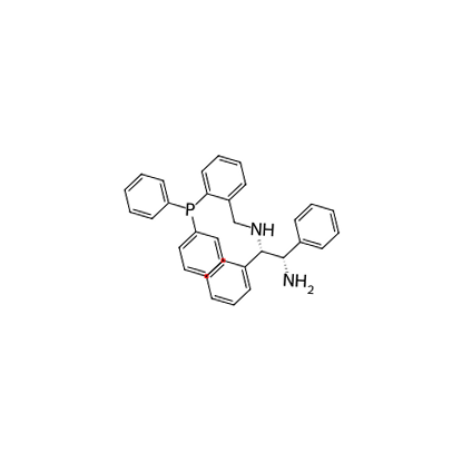 N[C@@H](c1ccccc1)[C@@H](NCc1ccccc1P(c1ccccc1)c1ccccc1)c1ccccc1